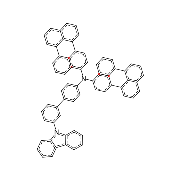 c1ccc(-c2cccc3cccc(-c4ccc(N(c5ccc(-c6cccc(-n7c8ccccc8c8ccccc87)c6)cc5)c5ccc(-c6cccc7cccc(-c8ccccc8)c67)cc5)cc4)c23)cc1